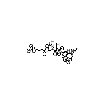 CCN[C@H]1CC(C)S(=O)(=O)c2sc(S(=O)(=O)NC(=O)C(COC(=O)CCCO[N+](=O)[O-])NC(C)=O)cc21